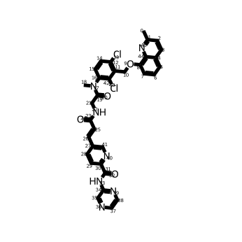 Cc1ccc2cccc(OCc3c(Cl)ccc(N(C)C(=O)CNC(=O)/C=C/c4ccc(C(=O)Nc5cnccn5)nc4)c3Cl)c2n1